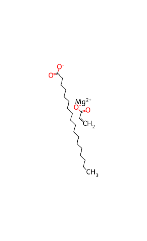 C=CC(=O)[O-].CCCCCCCCCCCCCCCCCC(=O)[O-].[Mg+2]